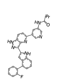 CC(C)C(=O)Nc1cncc(-c2ccc3[nH]nc(-c4cc5c(-c6ccccc6F)cccc5[nH]4)c3n2)c1